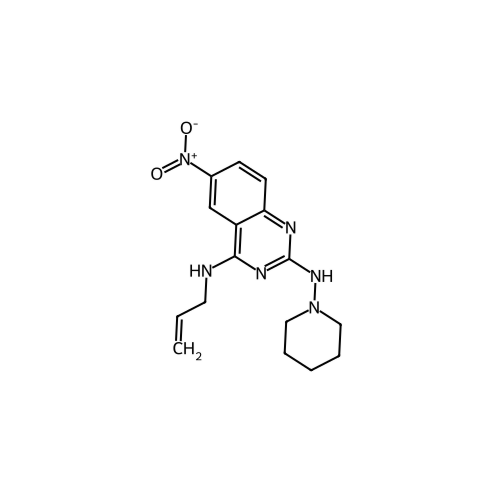 C=CCNc1nc(NN2CCCCC2)nc2ccc([N+](=O)[O-])cc12